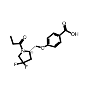 CCC(=O)N1CC(F)(F)C[C@H]1COc1ccc(C(=O)O)cc1